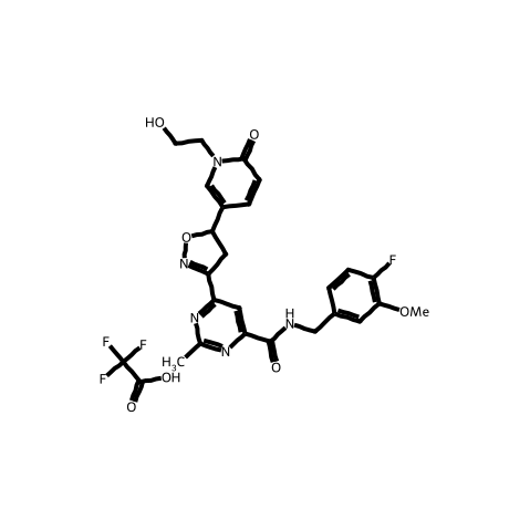 COc1cc(CNC(=O)c2cc(C3=NOC(c4ccc(=O)n(CCO)c4)C3)nc(C)n2)ccc1F.O=C(O)C(F)(F)F